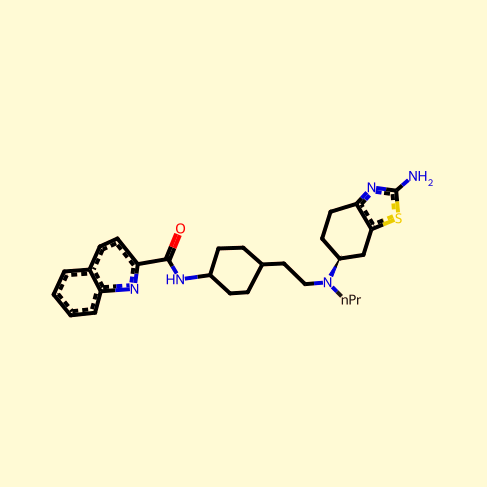 CCCN(CCC1CCC(NC(=O)c2ccc3ccccc3n2)CC1)[C@H]1CCc2nc(N)sc2C1